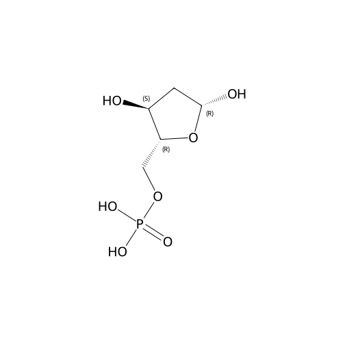 O=P(O)(O)OC[C@H]1O[C@@H](O)C[C@@H]1O